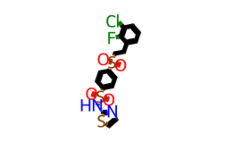 O=S(=O)(CCc1cccc(Cl)c1F)c1ccc(S(=O)(=O)Nc2nccs2)cc1